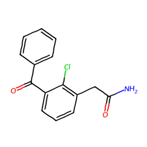 NC(=O)Cc1cccc(C(=O)c2ccccc2)c1Cl